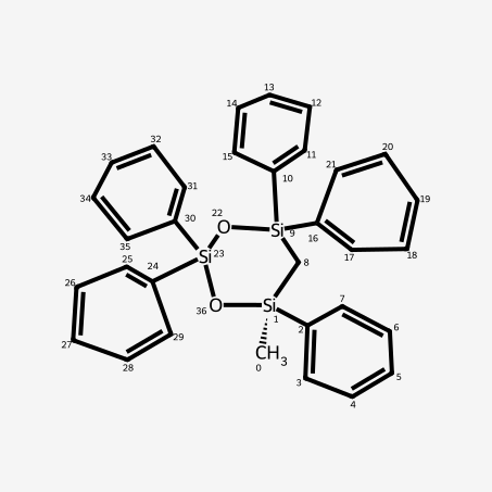 C[Si@@]1(c2ccccc2)C[Si](c2ccccc2)(c2ccccc2)O[Si](c2ccccc2)(c2ccccc2)O1